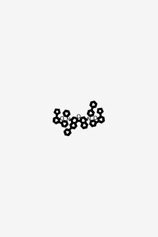 c1ccc(-c2ccc(N(c3cc4oc5cc(N(c6ccccc6)c6cccc7c6oc6c(C8CCCC8)cccc67)c6cc(-c7ccccc7)ccc6c5c4c4ccccc34)c3cccc4c3oc3c(C5CCCC5)cccc34)cc2)cc1